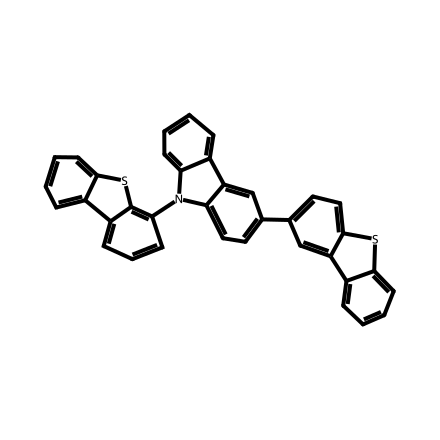 c1ccc2c(c1)sc1ccc(-c3ccc4c(c3)c3ccccc3n4-c3cccc4c3sc3ccccc34)cc12